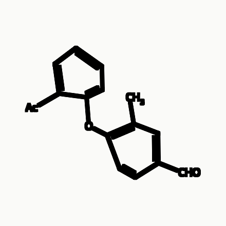 CC(=O)c1ccccc1Oc1ccc(C=O)cc1C